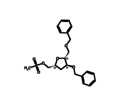 CS(=O)(=O)OC[C@H]1C[C@H](OCc2ccccc2)[C@@H](COCc2ccccc2)O1